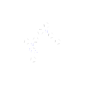 c1ccc(-c2ccc(-n3c4ccccc4c4ccc(-c5ccc6c(c5)c5ccccc5n6-c5cnc6c(n5)Cc5ccccc5-6)cc43)cc2)cc1